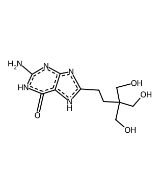 Nc1nc2nc(CCC(CO)(CO)CO)[nH]c2c(=O)[nH]1